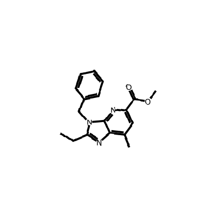 CCc1nc2c(C)cc(C(=O)OC)nc2n1Cc1ccccc1